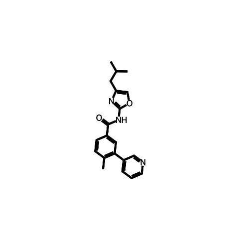 Cc1ccc(C(=O)Nc2nc(CC(C)C)co2)cc1-c1cccnc1